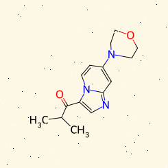 CC(C)C(=O)c1cnc2cc(N3CCOCC3)ccn12